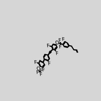 C=CCCc1ccc(C(F)(F)Oc2cc(F)c(C#Cc3ccc(-c4cc(F)c(OC(F)(F)F)c(F)c4)c(F)c3)c(F)c2)c(F)c1